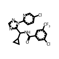 O=C(NC(c1ncnn1-c1ccc(Cl)cn1)C1CC1)c1cc(Cl)cc(C(F)(F)F)c1